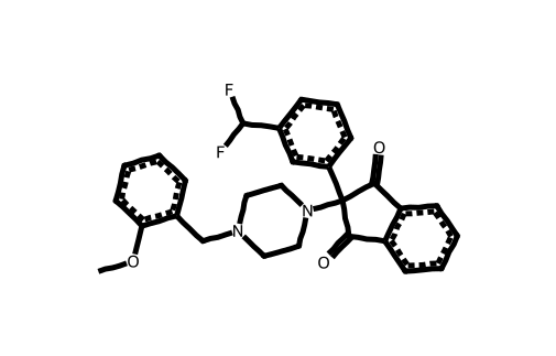 COc1ccccc1CN1CCN(C2(c3cccc(C(F)F)c3)C(=O)c3ccccc3C2=O)CC1